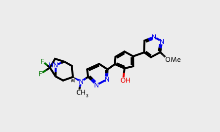 COc1cc(-c2ccc(-c3ccc(N(C)[C@@H]4CC5CC(F)(F)C(C4)N5)nn3)c(O)c2)cnn1